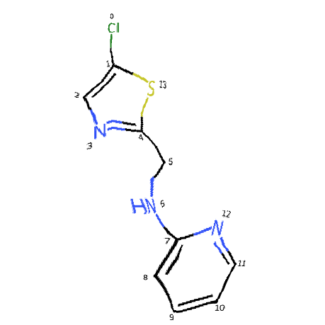 Clc1cnc(CNc2ccccn2)s1